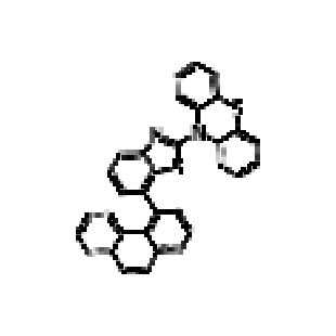 c1ccc2c(c1)Sc1ccccc1N2c1nc2cccc(-c3cccc4ccc5ccccc5c34)c2s1